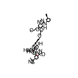 C#Cc1cccc(Nc2ncnc3cc(OCCOC)c(OCCOCC#CC#CCO[C@@](C)(ONC)C(O)(CC(C)C)N4C[C@H](O)C[C@@H]4C4=NC(=O)[C@](C)(c5ccc(-c6scnc6C)cc5)N4)cc23)c1